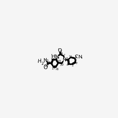 N#Cc1cccc(N2CC(=O)Nc3cc(C(N)=O)ccc3C2)c1